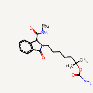 CC(C)(C)NC(=O)C1c2ccccc2C(=O)N1CCCCCC(C)(C)OC(N)=O